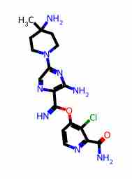 CC1(N)CCN(c2cnc(C(=N)Oc3ccnc(C(N)=O)c3Cl)c(N)n2)CC1